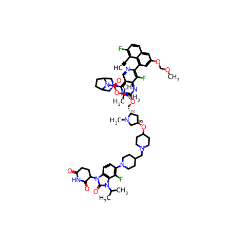 C#Cc1c(F)ccc2cc(OCOC)cc(-c3ncc4c(N5CC6CCC(C5)N6C(=O)OC(C)(C)C)nc(OC[C@@H]5C[C@@H](OC6CCN(CC7CCN(c8ccc9c(c8F)n(C(C)C)c(=O)n9C8CCC(=O)NC8=O)CC7)CC6)CN5C)nc4c3F)c12